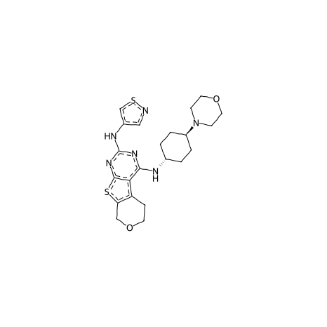 c1nscc1Nc1nc(N[C@H]2CC[C@H](N3CCOCC3)CC2)c2c3c(sc2n1)COCC3